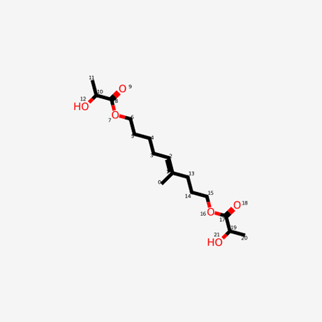 C/C(=C\CCCCOC(=O)C(C)O)CCCOC(=O)C(C)O